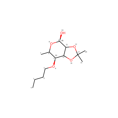 CCCCO[C@H]1C(C)O[C@@H](O)C2OC(C)(C)OC21